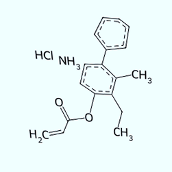 C=CC(=O)Oc1ccc(-c2ccccc2)c(C)c1CC.Cl.N